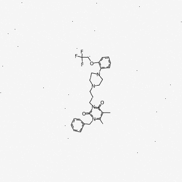 Cc1c(C)n(Cc2ccccc2)c(=O)n(CCCN2CCN(c3ccccc3OCC(F)(F)F)CC2)c1=O